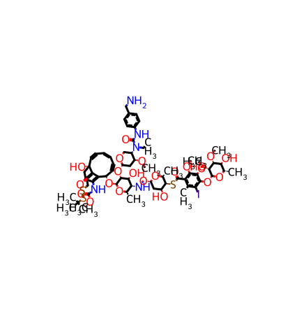 CCN(C(=O)Nc1ccc(CN)cc1)[C@H]1CO[C@@H](O[C@H]2[C@H](O[C@H]3C#C/C=C\C#C[C@]4(O)CC(=O)C(NC(=O)OC)=C3/C4=C\CSSC(C)(C)C)O[C@H](C)[C@@H](NO[C@H]3C[C@H](O)[C@H](SC(=O)c4c(C)c(I)c(O[C@@H]5O[C@@H](C)[C@H](O)[C@@H](OC)[C@H]5O)c(OC)c4OC)[C@@H](C)O3)[C@@H]2O)C[C@@H]1OC